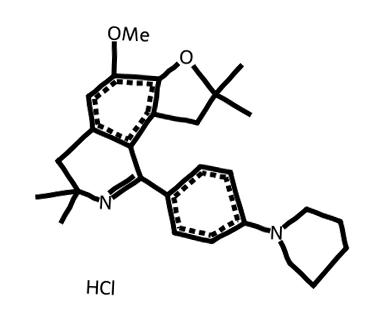 COc1cc2c(c3c1OC(C)(C)C3)C(c1ccc(N3CCCCC3)cc1)=NC(C)(C)C2.Cl